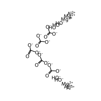 O=C([O-])[O-].O=C([O-])[O-].O=C([O-])[O-].O=C([O-])[O-].O=C([O-])[O-].[Al+3].[Al+3].[Al+3].[Mg+2].[Mg+2].[Mg+2].[OH-].[OH-].[OH-].[OH-].[OH-]